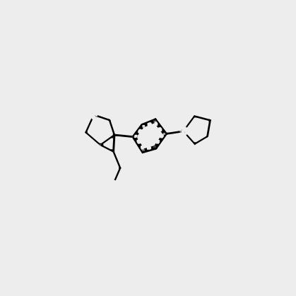 CCC1C2CNCC12c1ccc(N2CCCC2)cc1